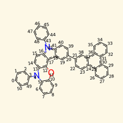 c1ccc(N2c3ccccc3Oc3c2ccc2c3c3cc(-c4ccc5c6ccccc6c6ccccc6c5c4)ccc3n2-c2ccccc2)cc1